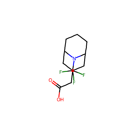 O=C(O)CC1CC2CCCC(C1)N2C(F)(F)F